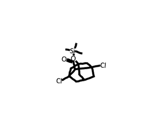 C[Si](C)(C)OC12CC3CC(Cl)(C1)C(C=O)C(Cl)(C3)C2